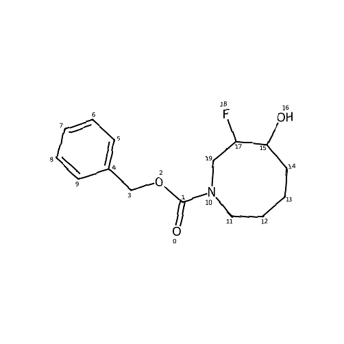 O=C(OCc1ccccc1)N1CCCCC(O)C(F)C1